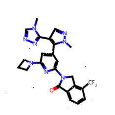 Cn1cnnc1-c1cnn(C)c1-c1cc(N2CCC2)nc(N2Cc3c(cccc3C(F)(F)F)C2=O)c1